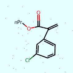 C=C(C(=O)OCCC)c1cccc(Cl)c1